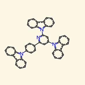 c1ccc2c(c1)c1ccccc1n2-c1ccc(-c2cc(-n3c4ccccc4c4ccccc43)cc(-n3c4ccccc4c4ccccc43)n2)cc1